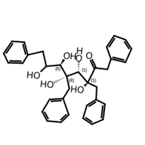 O=C(Cc1ccccc1)[C@](O)(Cc1ccccc1)[C@@H](O)[C@@](O)(Cc1ccccc1)[C@H](O)C(O)Cc1ccccc1